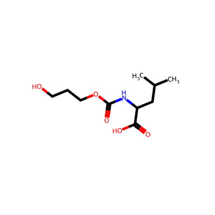 CC(C)CC(NC(=O)OCCCO)C(=O)O